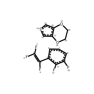 FC(F)=C(F)c1cccc(F)c1F.c1scc2c1OCCO2